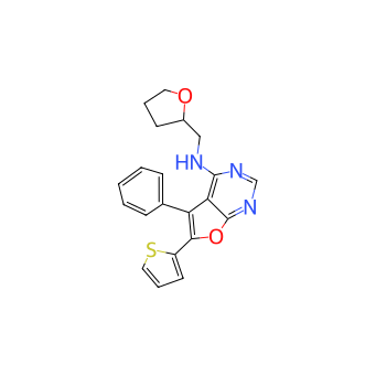 c1ccc(-c2c(-c3cccs3)oc3ncnc(NCC4CCCO4)c23)cc1